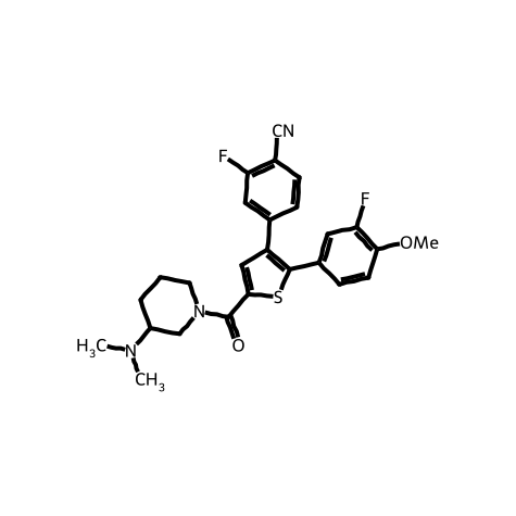 COc1ccc(-c2sc(C(=O)N3CCCC(N(C)C)C3)cc2-c2ccc(C#N)c(F)c2)cc1F